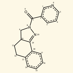 O=C(c1cccnc1)N1CC2CCc3ccccc3C2=N1